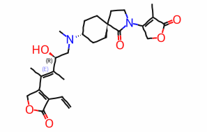 C=CC1=C(/C(C)=C(\C)[C@@H](O)CN(C)[C@H]2CC[C@]3(CCN(C4=C(C)C(=O)OC4)C3=O)CC2)COC1=O